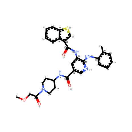 COCC(=O)N1CCC(NC(=O)c2cnc(Nc3ccccc3C)c(NC(=O)c3csc4ccccc34)c2)CC1